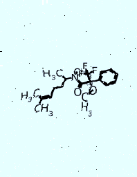 CO[C@](C(=O)N(C)C(C)CCC=C(C)C)(c1ccccc1)C(F)(F)F